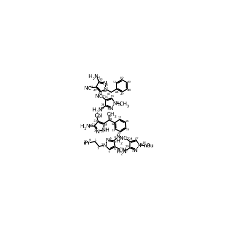 CC(C)CCn1cc(C#N)c(N)n1.CC(c1ccccc1)c1[nH]nc(N)c1C#N.CCCCn1cc(C#N)c(N)n1.Cn1cc(C#N)c(N)n1.N#Cc1cn(Cc2ccccc2)nc1N